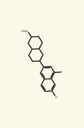 CCCCCCC1CCC2CC(c3cc(F)c4cc(Cl)ccc4c3)CCC2C1